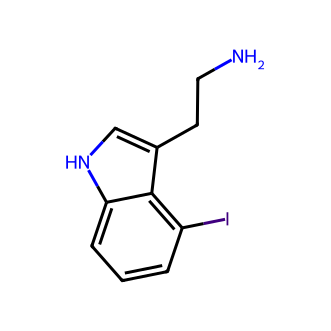 NCCc1c[nH]c2cccc(I)c12